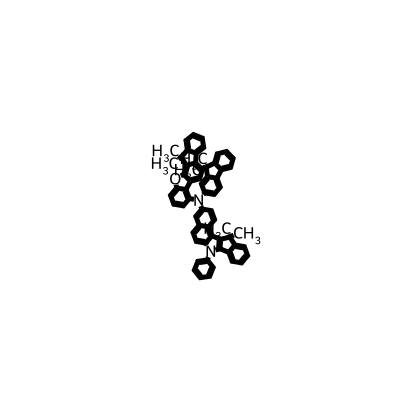 CC1(C)c2ccccc2-c2ccc(N(c3ccc4c(ccc5c4c4c(n5-c5ccccc5)-c5ccccc5C4(C)C)c3)c3cccc4oc5c6c(ccc5c34)-c3ccccc3C6(C)C)cc21